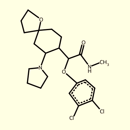 CNC(=O)C(Oc1ccc(Cl)c(Cl)c1)C1CCC2(CCCO2)CC1N1CCCC1